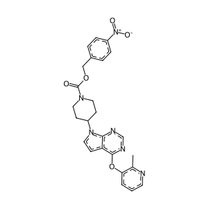 Cc1ncccc1Oc1ncnc2c1ccn2C1CCN(C(=O)OCc2ccc([N+](=O)[O-])cc2)CC1